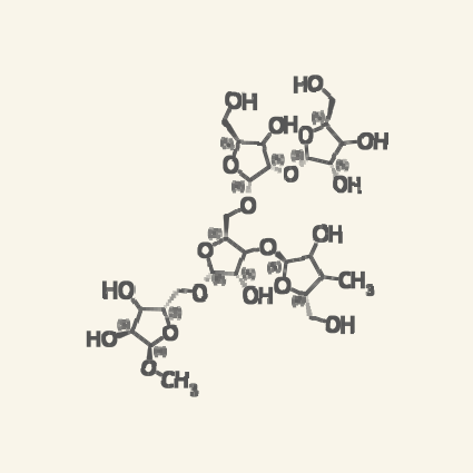 CO[C@@H]1O[C@@H](CO[C@@H]2O[C@@H](CO[C@@H]3O[C@@H](CO)C(O)[C@@H]3O[C@@H]3O[C@@H](CO)C(O)[C@@H]3O)C(O[C@@H]3O[C@@H](CO)C(C)C3O)[C@@H]2O)C(O)[C@@H]1O